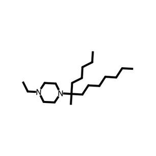 CCCCCCCC(C)(CCCCC)N1CCN(CC)CC1